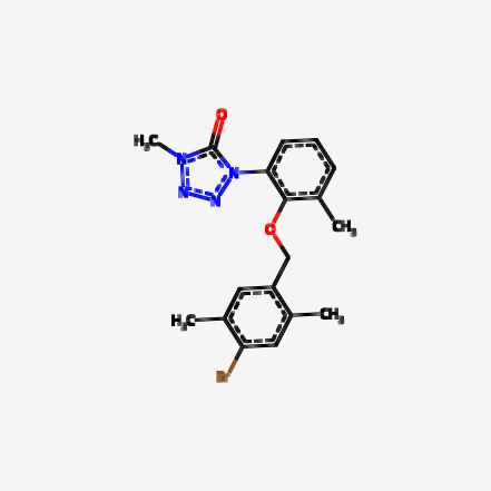 Cc1cc(COc2c(C)cccc2-n2nnn(C)c2=O)c(C)cc1Br